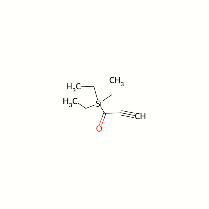 C#CC(=O)[Si](CC)(CC)CC